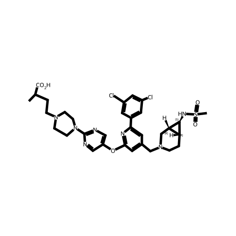 CC(CCN1CCN(c2ncc(Oc3cc(CN4CC[C@@H]5[C@H](C4)[C@H]5NS(C)(=O)=O)cc(-c4cc(Cl)cc(Cl)c4)n3)cn2)CC1)C(=O)O